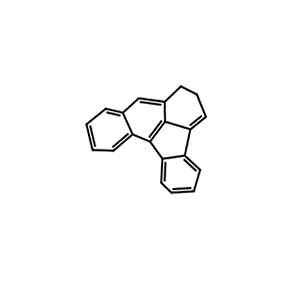 C1=C2c3ccccc3-c3c2c(cc2ccccc32)CC1